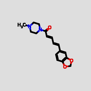 CN1CCN(C(=O)/C=C/C=C/c2ccc3c(c2)OCO3)CC1